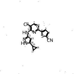 N#Cc1ccc(-c2ncc(Cl)c(Nc3cc(C4CC4)[nH]n3)n2)s1